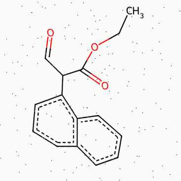 CCOC(=O)C(C=O)c1cccc2ccccc12